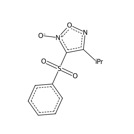 CC(C)c1no[n+]([O-])c1S(=O)(=O)c1ccccc1